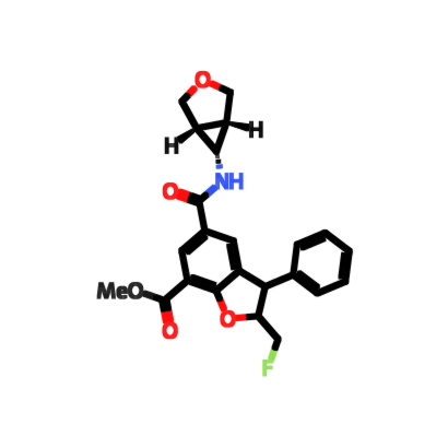 COC(=O)c1cc(C(=O)N[C@@H]2[C@@H]3COC[C@@H]32)cc2c1OC(CF)C2c1ccccc1